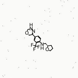 FC(F)(F)c1cc(C2=NNCOC2)ccc1NC[C@H]1CCCO1